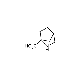 O=C(O)C12CCC(CN1)C2